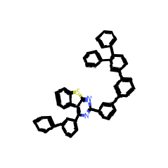 c1ccc(-c2cccc(-c3nc(-c4cccc(-c5cccc(-c6ccc(-c7ccccc7)c(-c7ccccc7)c6)c5)c4)nc4sc5ccccc5c34)c2)cc1